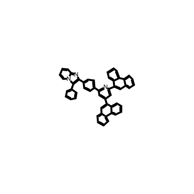 c1ccc(-c2c(-c3ccc(-c4cc(-c5cc6ccccc6c6ccccc56)cc(-c5cc6ccccc6c6ccccc56)n4)cc3)nc3ccccn23)cc1